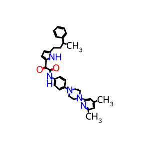 Cc1cc(C)nc(N2CCN(c3ccc(NC(=O)C(=O)c4ccc(CCC(C)c5ccccc5)[nH]4)cc3)CC2)c1